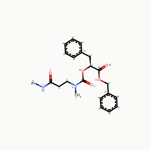 CC(C)NC(=O)CCN(C)C(=O)O[C@@H](Cc1ccccc1)C(=O)OCc1ccccc1